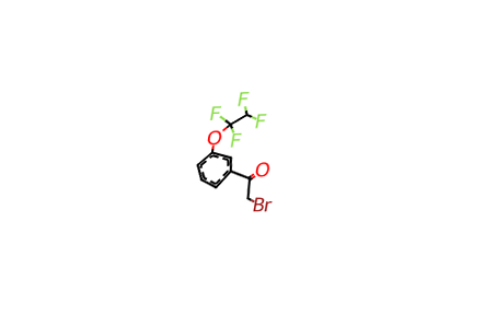 O=C(CBr)c1cccc(OC(F)(F)C(F)F)c1